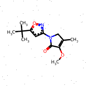 COC1=C(C)CN(c2cc(C(C)(C)C)on2)C1=O